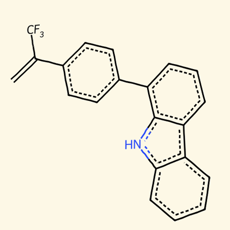 C=C(c1ccc(-c2cccc3c2[nH]c2ccccc23)cc1)C(F)(F)F